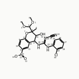 COC(OC)C1(C)Oc2ccc([N+](=O)[O-])cc2C(NC(=NC#N)Nc2ccccc2Cl)C1O